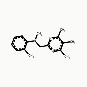 Cc1ccccc1N(C)Cc1nc(C)c(C)c(C)n1